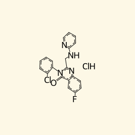 Cl.O=c1c2cc(F)ccc2nc(CNc2ccccn2)n1-c1ccccc1Cl